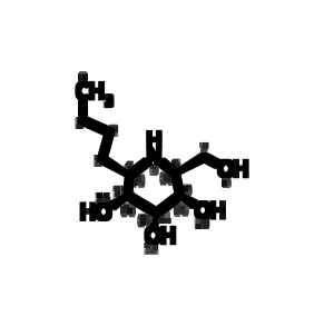 CCCC[C@H]1N[C@@H](CO)[C@@H](O)[C@H](O)[C@H]1O